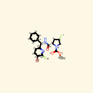 CC(C)(C)OC(=O)N1C[C@H](F)C[C@H]1C(=O)N[C@@H](c1ccccc1)c1ccc(Br)c(F)n1